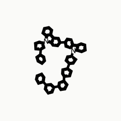 c1ccc(-c2cccc(-c3cccc(-c4ccc(-c5ccc(-n6c7ccccc7c7ccc(-c8ccc9c(c8)c8ccccc8n9-c8cccc(-c9ccccc9)c8)cc76)cc5)cc4)c3)c2)cc1